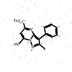 CCCc1cc(C(=O)OCC)nc2c(-c3ccccc3)c(C)nn12